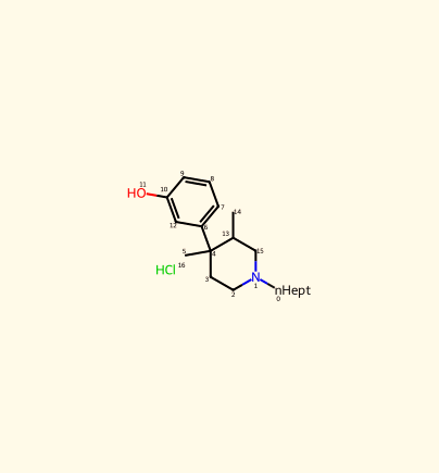 CCCCCCCN1CCC(C)(c2cccc(O)c2)C(C)C1.Cl